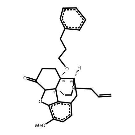 C=CCN1CC[C@]23c4c5ccc(OC)c4OC2C(=O)CC[C@@]3(OCCCc2ccccc2)[C@H]1C5